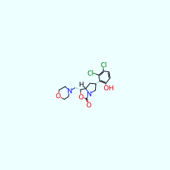 O=C1O[C@H](CN2CCOCC2)[C@@H]2C[C@H](c3c(O)ccc(Cl)c3Cl)CN12